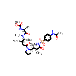 CC[C@@H](C)[C@@H]([C@@H](CC(=O)N1CCC[C@H]1[C@H](OC)[C@@H](C)C(=O)NS(=O)(=O)c1ccc(NC(=O)C(F)(F)F)cc1)OC)N(C)C(=O)[C@@H](NC(=O)OC(C)(C)C)C(C)C